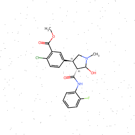 COC(=O)c1cc([C@H]2CN(C)C(O)[C@@H]2C(=O)Nc2ccccc2F)ccc1Cl